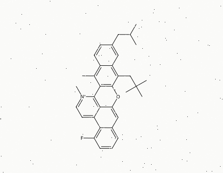 Cc1c2c(c(CC(C)(C)C)c3cc(CC(C)C)ccc13)Oc1cc3cccc(F)c3c3cc[n+](C)c-2c13